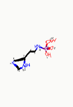 O=P(O)(O)NCCc1cnc[nH]1